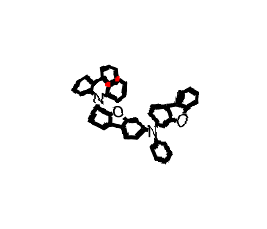 c1ccc(-c2ccccc2N(c2ccccc2)c2cccc3c2oc2cc(N(c4ccccc4)c4ccc5c(c4)oc4ccccc45)ccc23)cc1